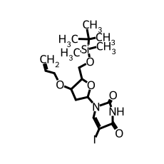 C=CCOC1CC(n2cc(I)c(=O)[nH]c2=O)OC1CO[Si](C)(C)C(C)(C)C